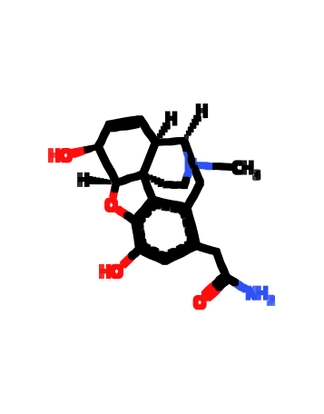 CN1CC[C@]23c4c5c(CC(N)=O)cc(O)c4O[C@H]2[C@@H](O)C=C[C@H]3[C@H]1C5